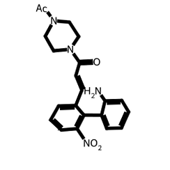 CC(=O)N1CCN(C(=O)/C=C/c2cc[c]c([N+](=O)[O-])c2-c2ccccc2N)CC1